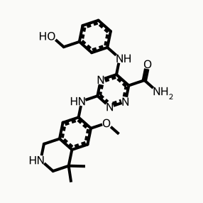 COc1cc2c(cc1Nc1nnc(C(N)=O)c(Nc3cccc(CO)c3)n1)CNCC2(C)C